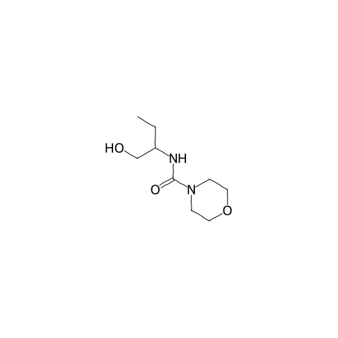 CCC(CO)NC(=O)N1CCOCC1